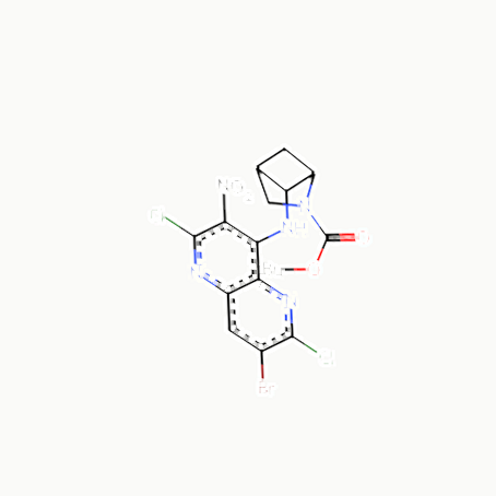 CC(C)(C)OC(=O)N1CC2CC1C2Nc1c([N+](=O)[O-])c(Cl)nc2cc(Br)c(Cl)nc12